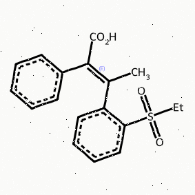 CCS(=O)(=O)c1ccccc1/C(C)=C(/C(=O)O)c1ccccc1